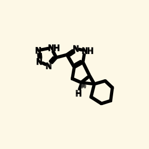 C1CCC2(CC1)C1c3[nH]nc(-c4nnn[nH]4)c3C[C@H]12